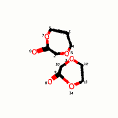 O=C1COCCCO1.O=C1COCCO1